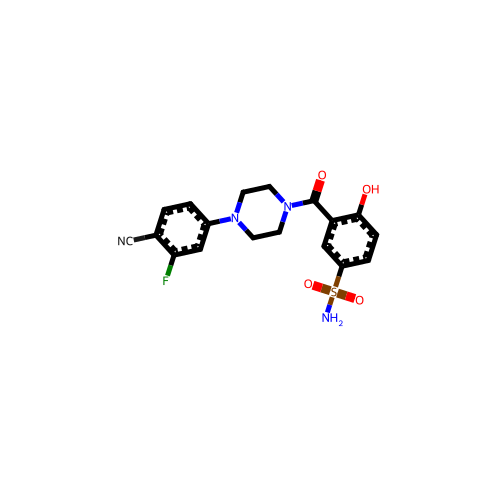 N#Cc1ccc(N2CCN(C(=O)c3cc(S(N)(=O)=O)ccc3O)CC2)cc1F